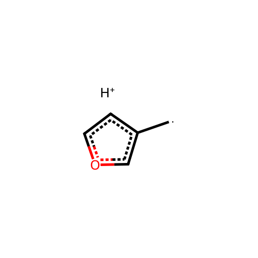 [CH2]c1ccoc1.[H+]